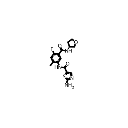 Cc1cc(F)c(C(=O)N[C@H]2CCOC2)cc1NC(=O)c1cnc(N)s1